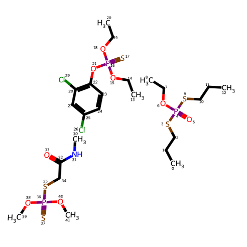 CCCSP(=O)(OCC)SCCC.CCOP(=S)(OCC)Oc1ccc(Cl)cc1Cl.CNC(=O)CSP(=S)(OC)OC